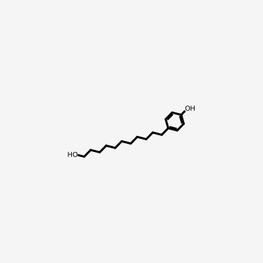 OCCCCCCCCCCCc1ccc(O)cc1